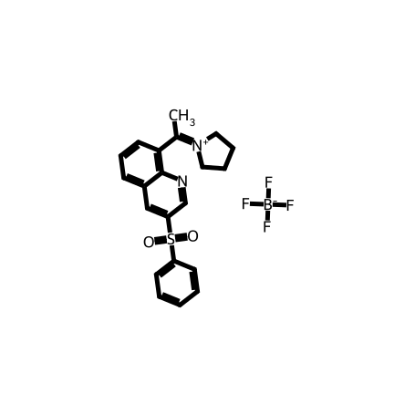 CC(c1cccc2cc(S(=O)(=O)c3ccccc3)cnc12)=[N+]1CCCC1.F[B-](F)(F)F